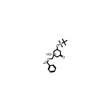 C[C@@H](OC[C@]1(O)CC(=O)CC(O[Si](C)(C)C(C)(C)C)C1)c1ccccc1